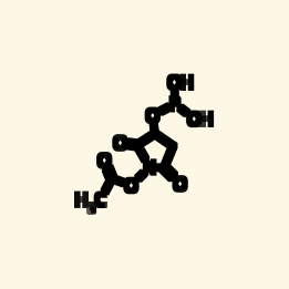 CC(=O)ON1C(=O)CC(OP(O)O)C1=O